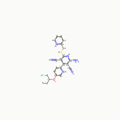 CCC(CF)Oc1ccc(-c2c(C#N)c(N)nc(SCc3ccccn3)c2C#N)nc1